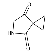 O=C1CNC(=O)C12CC2